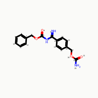 N=C(NC(=O)OCc1ccccc1)c1ccc(COC(N)=O)cc1